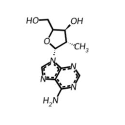 C[C@H]1[C@H](O)C(CO)O[C@H]1n1cnc2c(N)ncnc21